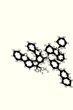 CC1(C)c2ccc3c(oc4ccccc43)c2-c2c1cc(N(c1ccc(-c3ccc4ccccc4c3)cc1)c1cccc3c1c1ccccc1n3-c1ccccc1)c1oc3ccccc3c21